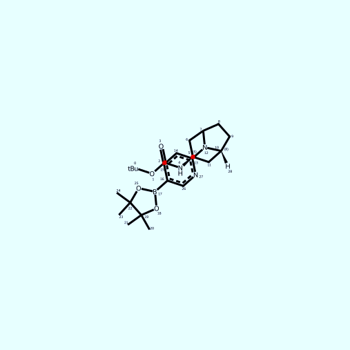 CC(C)(C)OC(=O)N[C@H]1CC2CC[C@H](C1)N2c1ccc(B2OC(C)(C)C(C)(C)O2)cn1